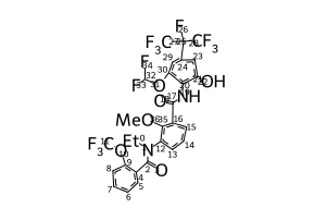 CCN(C(=O)c1ccccc1OC(F)(F)F)c1cccc(C(=O)Nc2c(O)cc(C(F)(C(F)(F)F)C(F)(F)F)cc2OC(F)F)c1OC